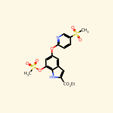 CCOC(=O)c1cc2cc(Oc3ccc(S(C)(=O)=O)cn3)cc(OS(C)(=O)=O)c2[nH]1